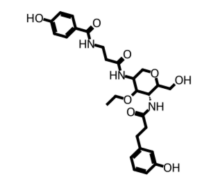 CCOC1C(NC(=O)CCNC(=O)c2ccc(O)cc2)COC(CO)[C@@H]1NC(=O)CCc1cccc(O)c1